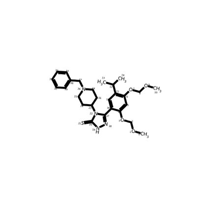 COCOc1cc(OCOC)c(C(C)C)cc1-c1n[nH]c(=S)n1C1CCN(Cc2ccccc2)CC1